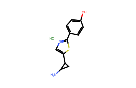 Cl.NC1CC1c1cnc(-c2ccc(O)cc2)s1